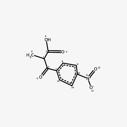 CC(C(=O)O)C(=O)c1ccc([N+](=O)[O-])cc1